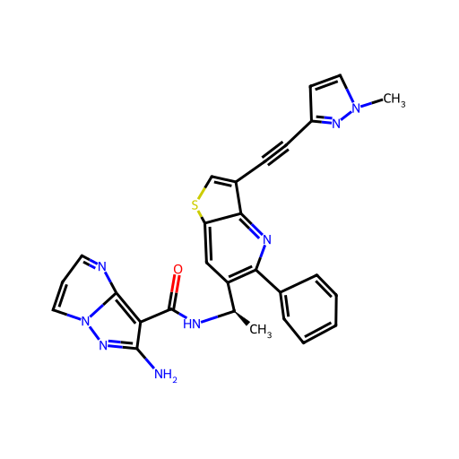 C[C@@H](NC(=O)c1c(N)nn2cccnc12)c1cc2scc(C#Cc3ccn(C)n3)c2nc1-c1ccccc1